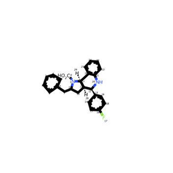 O=C(O)N1C(Cc2ccccc2)C[C@@H]2[C@H](c3ccc(F)cc3)Nc3ccccc3[C@@H]21